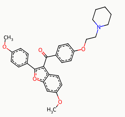 COc1ccc(-c2oc3cc(OC)ccc3c2C(=O)c2ccc(OCCN3CCCCC3)cc2)cc1